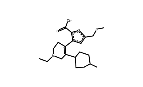 CCN1CCC(c2cc(COC)sc2C(=O)O)=C(C2CCC(C)CC2)C1